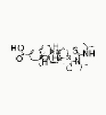 CC(C)NC(=S)N(C(=O)[C@H]1CC[C@H]2[C@@H]3CC=C4C=C(C(=O)O)CC(C)[C@]4(C)[C@H]3CC[C@]12C)C(C)C